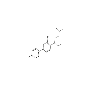 CCC(CCC(C)C)c1ccc(-c2ccc(C)cc2)cc1F